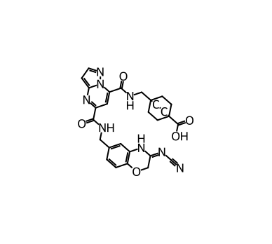 N#C/N=C1\COc2ccc(CNC(=O)c3cc(C(=O)NCC45CCC(C(=O)O)(CC4)CC5)n4nccc4n3)cc2N1